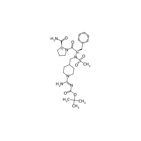 CC(C)(C)OC(=O)N=C(N)N1CCC(CN([C@H](Cc2ccccc2)C(=O)N2CCC[C@H]2C(N)=O)S(C)(=O)=O)CC1